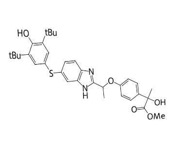 COC(=O)C(C)(O)c1ccc(OC(C)c2nc3ccc(Sc4cc(C(C)(C)C)c(O)c(C(C)(C)C)c4)cc3[nH]2)cc1